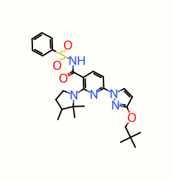 CC1CCN(c2nc(-n3ccc(OCC(C)(C)C)n3)ccc2C(=O)NS(=O)(=O)c2ccccc2)C1(C)C